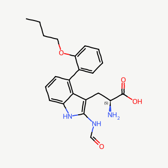 CCCCOc1ccccc1-c1cccc2[nH]c(NC=O)c(C[C@H](N)C(=O)O)c12